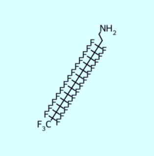 NCCC(F)(F)C(F)(F)C(F)(F)C(F)(F)C(F)(F)C(F)(F)C(F)(F)C(F)(F)C(F)(F)C(F)(F)C(F)(F)C(F)(F)C(F)(F)C(F)(F)F